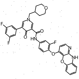 O=C(Nc1ccc(Oc2ccnc3c2Oc2ccccc2N3)c(F)c1)c1cn(CC2CCOCC2)cc(-c2cc(F)cc(F)c2)c1=O